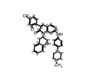 CN1CCN(c2ccc(Nc3ncc4cc(-c5ccc(Cl)cc5Cl)c(=O)n(C5CNc6ccccc6C5)c4n3)cc2)CC1